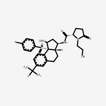 N#CCCN1C(=O)CC[C@H]1C(=O)N[C@@H]1CC(C=O)[C@]2(S(=O)(=O)c3ccc(F)cc3)c3ccc(C(F)(C(F)(F)F)C(F)(F)F)cc3CC[C@@H]12